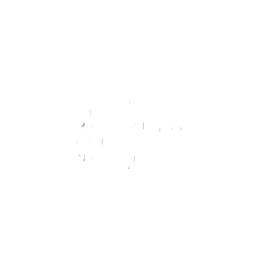 CC(=O)O.CCCCCCCC[PH](C)(CCCCCCCC)CCCCCCCC.N